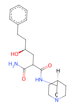 NC(=O)[C](C[C@@H](O)CCc1ccccc1)C(=O)NC1C[N@]2CC[C@@H]1CC2